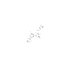 Cc1cc(CCCOc2c(Cl)cc(-c3noc(C(F)(F)F)n3)cc2-c2noc(C(F)(F)F)n2)on1